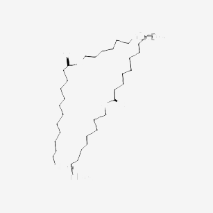 CCCCCCCCCCCCCCCCCCCCCC(=O)OCCCCCCCCCCCCCCCC.CCCCCCCCCCCCCCCCCCOC(=O)CCCCCCCCCCCCCCCCC